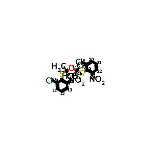 CC(C)(OC(C)(C)Sc1c(Cl)cccc1[N+](=O)[O-])Sc1c(Cl)cccc1[N+](=O)[O-]